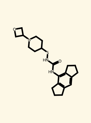 O=C(NSC1CCN(C2COC2)CC1)Nc1c2c(cc3c1CCC3)CCC2